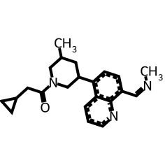 C/N=C\c1ccc(C2CC(C)CN(C(=O)CC3CC3)C2)c2cccnc12